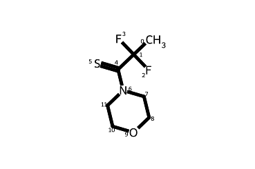 CC(F)(F)C(=S)N1CCOCC1